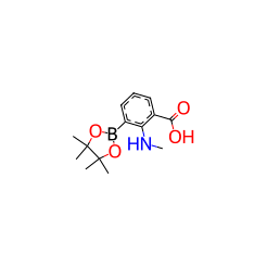 CNc1c(B2OC(C)(C)C(C)(C)O2)cccc1C(=O)O